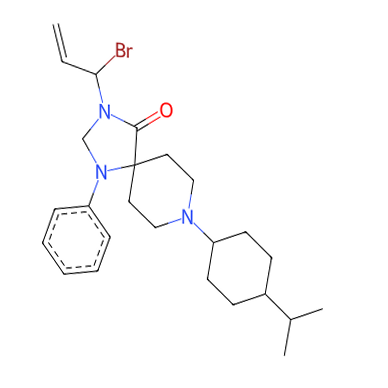 C=CC(Br)N1CN(c2ccccc2)C2(CCN(C3CCC(C(C)C)CC3)CC2)C1=O